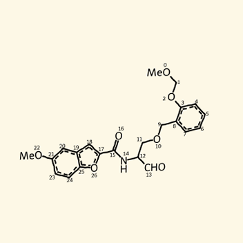 COCOc1ccccc1COCC(C=O)NC(=O)c1cc2cc(OC)ccc2o1